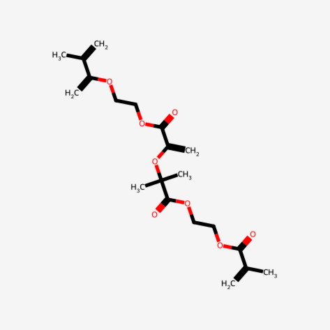 C=C(C)C(=C)OCCOC(=O)C(=C)OC(C)(C)C(=O)OCCOC(=O)C(=C)C